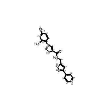 Cc1ccc(-n2cc(C(=O)NCc3cc(-c4ccncc4)no3)nn2)c(C)n1